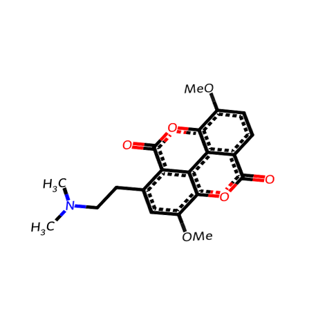 COc1ccc2c(=O)oc3c(OC)cc(CCN(C)C)c4c(=O)oc1c2c34